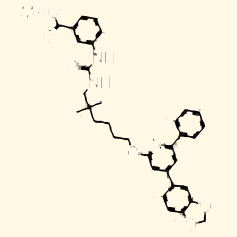 COC(=O)c1cccc(NC(=O)NCC(C)(C)CCCCOc2cc(-c3ccc4c(c3)OCO4)cc(-c3ccccc3)n2)c1